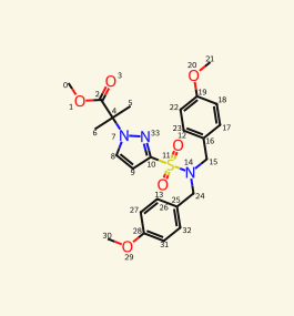 COC(=O)C(C)(C)n1ccc(S(=O)(=O)N(Cc2ccc(OC)cc2)Cc2ccc(OC)cc2)n1